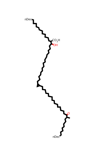 CCCCCCCCCCCCCCCCCCCCCCC(C(=O)O)C(O)CCCCCCCCCCCCCCCCCC1CC1CCCCCCCCCCCCCCCCC(=O)C(C)CCCCCCCCCCCCCCCCCC